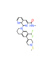 CNC(=O)c1cc2cccnc2c(N2CCCc3cc(C4=CCN(SC)CC4)c(C(F)F)cc32)n1